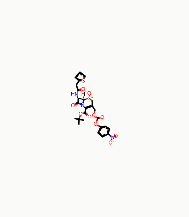 CC(C)(C)OC(=O)C1=C(COC(=O)Oc2ccc([N+](=O)[O-])cc2)C[S+]([O-])[C@@H]2[C@H](NC(=O)Cc3cccs3)C(=O)N12